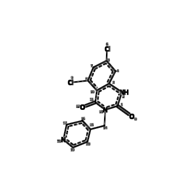 O=c1[nH]c2cc(Cl)cc(Cl)c2c(=O)n1Cc1ccncc1